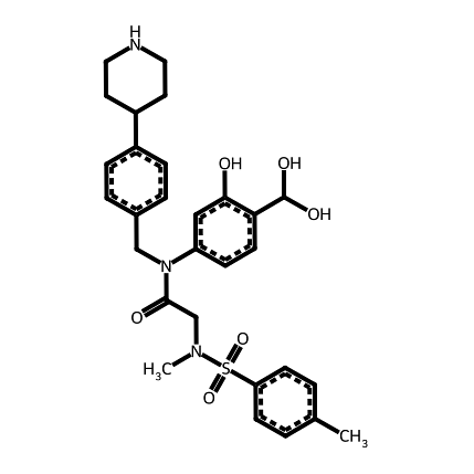 Cc1ccc(S(=O)(=O)N(C)CC(=O)N(Cc2ccc(C3CCNCC3)cc2)c2ccc(C(O)O)c(O)c2)cc1